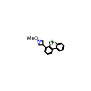 CON1CC(c2cccc(-c3ccccc3Br)c2C(F)(F)F)C1